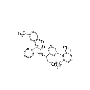 Cc1ccc(=O)n([C@H](C(=O)NC(CC(=O)O)c2cncc(-c3c(C)cccc3C)c2)c2ccccc2)c1